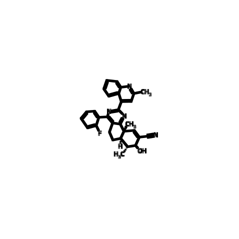 Cc1cc(-c2nc(-c3ccccc3F)c3c(n2)[C@]2(C)C=C(C#N)C(O)[C@H](C)[C@H]2CC3)c2ccccc2n1